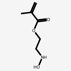 C=C(C)C(=O)OCCNO